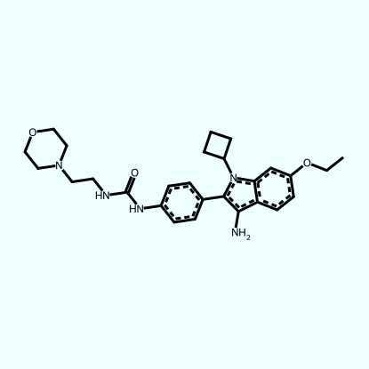 CCOc1ccc2c(N)c(-c3ccc(NC(=O)NCCN4CCOCC4)cc3)n(C3CCC3)c2c1